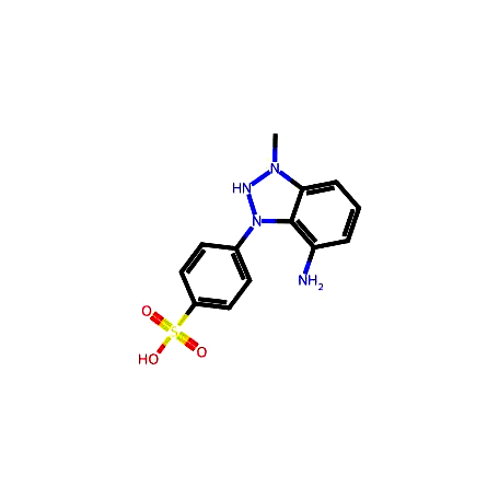 CN1NN(c2ccc(S(=O)(=O)O)cc2)c2c(N)cccc21